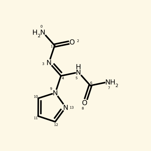 NC(=O)N=C(NC(N)=O)n1cccn1